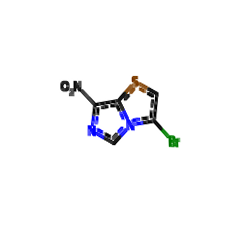 O=[N+]([O-])c1ncn2c(Br)csc12